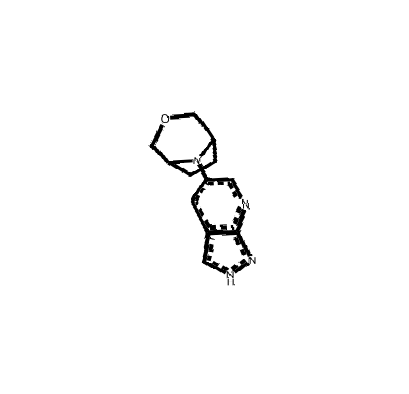 c1nc2n[nH]cc2cc1N1C2CCC1COC2